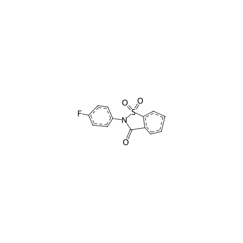 O=C1c2ccccc2S(=O)(=O)N1c1ccc(F)cc1